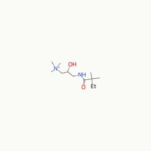 CCC(C)(C)C(=O)NCC(O)C[N+](C)(C)C